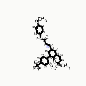 COc1ccc(NC(=O)/C=C/c2cc3c(c(-c4ccc(C(F)(F)F)cc4)c2)OC(C)(C)C=C3)cc1